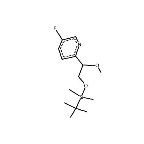 COC(CO[Si](C)(C)C(C)(C)C)c1ccc(F)cn1